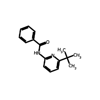 CC(C)(C)c1cccc(NC(=O)c2ccccc2)n1